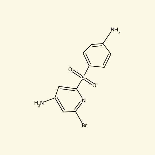 Nc1ccc(S(=O)(=O)c2cc(N)cc(Br)n2)cc1